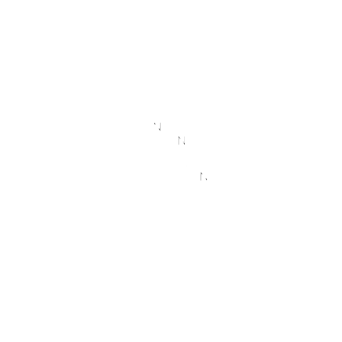 c1nnc(N2CCCCC2)cc1C1CCC1